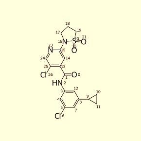 O=C(Nc1cc(Cl)cc(C2CC2)c1)c1cc(N2CCCS2(=O)=O)ncc1Cl